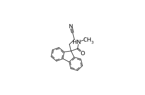 CNC(=O)C1(CCC#N)c2ccccc2-c2ccccc21